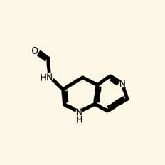 O=CNC1=CNc2ccncc2C1